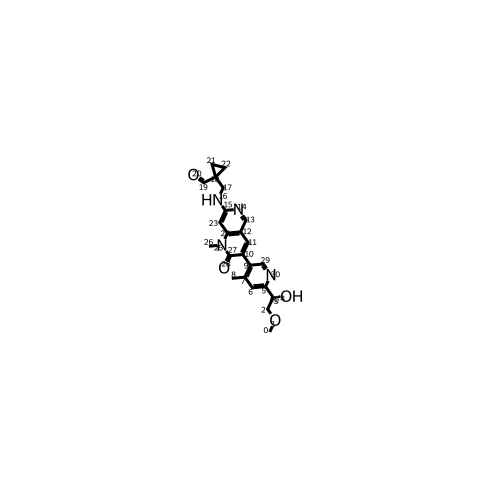 COC[C@H](O)c1cc(C)c(-c2cc3cnc(NCC4(C=O)CC4)cc3n(C)c2=O)cn1